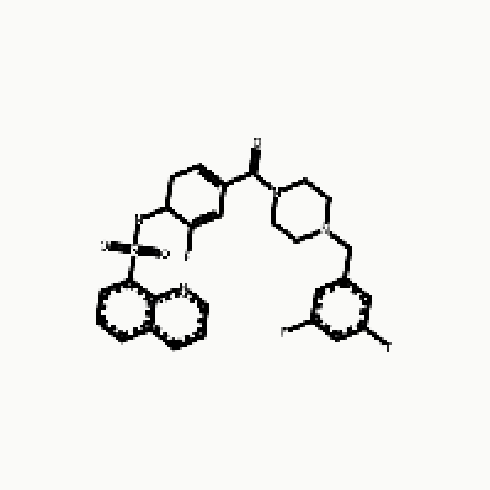 O=C(C1=CCC(NS(=O)(=O)c2cccc3cccnc23)C(F)=C1)N1CCN(Cc2cc(F)cc(F)c2)CC1